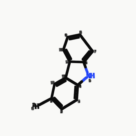 [2H]c1ccc2[nH]c3ccccc3c2c1